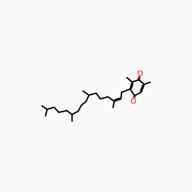 CC(=CCC1=C(C)C(=O)C(C)=CC1=O)CCCC(C)CCCC(C)CCCC(C)C